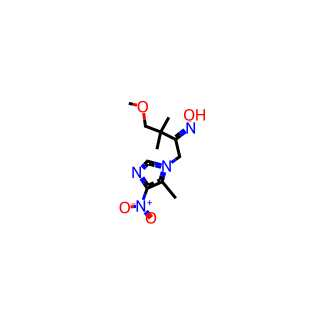 COCC(C)(C)/C(Cn1cnc([N+](=O)[O-])c1C)=N\O